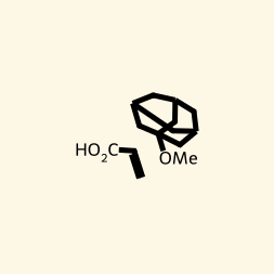 C=CC(=O)O.COC12CC3CC(CC(C3)C1)C2